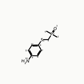 CP(C)(=O)CSc1ccc(N)cc1